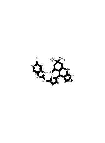 CC1(C)CC(=O)C2=C(C1)Nc1n[nH]cc1C2c1ccc(Sc2nc3cc(Cl)ccc3s2)o1